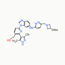 COC1CN(Cc2ccc(Nc3ccc4ncn(-c5ccc(CCO)c(-c6c(C#N)n[nH]c6C)n5)c4c3)nn2)C1